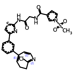 CS(=O)(=O)n1ccc(C(=O)NCC(=O)Nc2nc(-c3cccc(C4=C/CC/C(Cl)=N/C=C\4)c3)cs2)c1